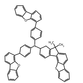 CC1(C)C2=C(C=CC(N(C3=CCC(c4cccc5c4oc4ccccc45)C=C3)c3ccc(-c4cccc5c4oc4ccccc45)cc3)C2)c2c1ccc1c2sc2ccccc21